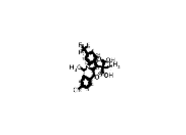 CCn1c(C(=O)c2ccc(Cl)cc2)c(C(CC)(C(=O)O)C(=O)O)c2ccc(C(F)(F)F)cc21